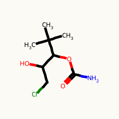 CC(C)(C)C(OC(N)=O)C(O)CCl